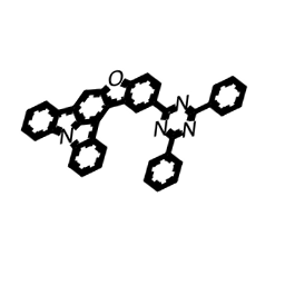 c1ccc(-c2nc(-c3ccccc3)nc(-c3ccc4oc5cc6c7ccccc7n7c8ccccc8c(c5c4c3)c67)n2)cc1